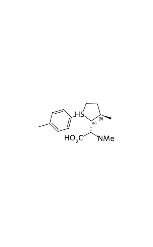 CNC(C(=O)O)[C@H]1[C@H](C)CC[SH]1c1ccc(C)cc1